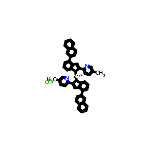 Cc1ccc(C2=Cc3c(-c4ccc5ccccc5c4)cccc3[CH]2[Zr+2][CH]2C(c3ccc(C)cn3)=Cc3c(-c4ccc5ccccc5c4)cccc32)nc1.[Cl-].[Cl-]